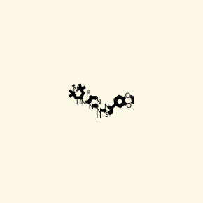 CN1C(C)(C)CC(Nc2nc(Nc3nc(-c4ccc5c(c4)OCCO5)cs3)ncc2F)CC1(C)C